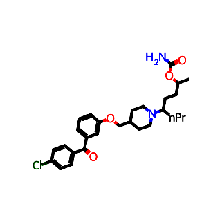 CCCC(CCC(C)OC(N)=O)N1CCC(COc2cccc(C(=O)c3ccc(Cl)cc3)c2)CC1